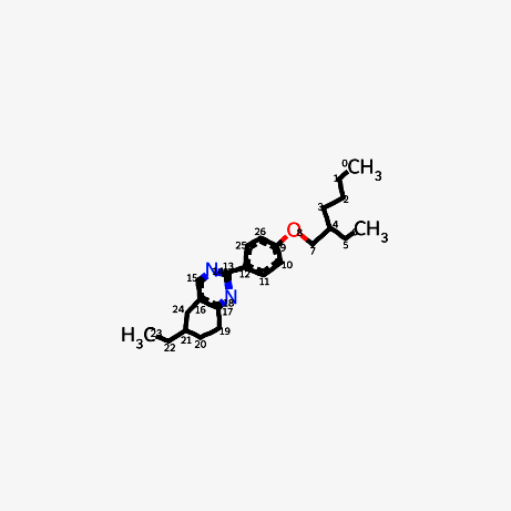 CCCCC(CC)COc1ccc(-c2ncc3c(n2)CCC(CC)C3)cc1